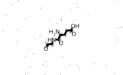 N[C@H](CCC(=O)O)C(=O)NCC=O